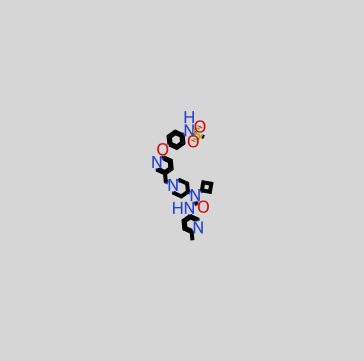 Cc1ccc(NC(=O)N(C2CCC2)C2CCN(Cc3ccc(Oc4ccc(NS(C)(=O)=O)cc4)nc3)CC2)cn1